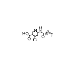 O=C(O)c1cnc(NC(=O)[C@@H]2C[C@@H]2F)cc1Cl